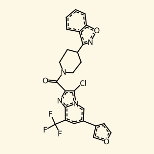 O=C(c1nc2c(C(F)(F)F)cc(-c3ccoc3)cn2c1Cl)N1CCC(c2noc3ccccc23)CC1